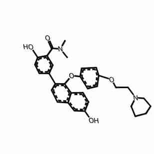 CN(C)C(=O)c1cc(-c2ccc3cc(O)ccc3c2Oc2ccc(OCCN3CCCCC3)cc2)ccc1O